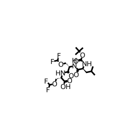 CC(C)C[C@H](NC(=O)OC(C)(C)C)C(=O)N[C@@H](COC(F)F)C(=O)N[C@@H](COC(F)F)C(=O)O